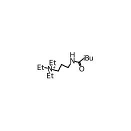 CCC(C)C(=O)NCCC[N+](CC)(CC)CC